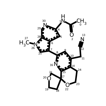 CC(=O)Nc1cc2c(-c3cc(CC#N)c4c(n3)C3(CCOC3)OCC4)cn(C)c2cn1